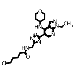 CCn1ncc2c(NC3CCOCC3)c(-c3nc(CNC(=O)CCCCCl)no3)cnc21